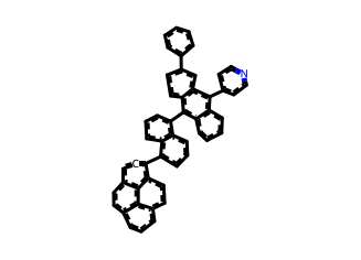 c1ccc(-c2ccc3c(-c4cccc5c(-c6ccc7ccc8cccc9ccc6c7c89)cccc45)c4ccccc4c(-c4ccncc4)c3c2)cc1